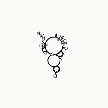 C=C1CCC[C@](O)(CN=[N+]=[N-])[C@@H]2CC[C@H]2CN2CCCCc3cc(Cl)ccc3COc3ccc(cc32)C(=O)NS(=O)(=O)[C@@H]1C